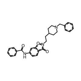 O=C(Nc1ccc2c(=O)n(CCC3CCN(Cc4ccccc4)CC3)oc2c1)c1ccccc1